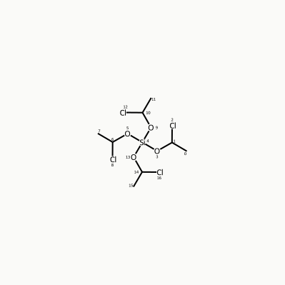 CC(Cl)O[Si](OC(C)Cl)(OC(C)Cl)OC(C)Cl